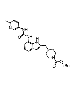 Cc1ccc(NC(=O)Nc2cccc3cc(CN4CCN(C(=O)OC(C)(C)C)CC4)[nH]c23)cn1